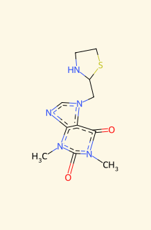 Cn1c(=O)c2c(ncn2CC2NCCS2)n(C)c1=O